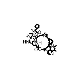 CCn1c(-c2cccnc2C(C)C)c2c3cc(ccc31)-c1csc(n1)C[C@H](NC(=O)[C@H](C1CCCC1)N(C)C(=O)CN(C)C(=O)[C@H]1CN1)C(=O)N1CCC[C@H](N1)C(=O)OCC(C)(C)C2